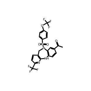 CC(=O)c1ccc2c(c1)N(S(=O)(=O)c1ccc(OC(F)(F)F)cc1)Cc1ccc(C(F)(F)F)nc1N2